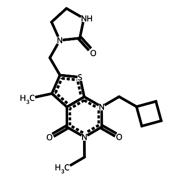 CCn1c(=O)c2c(C)c(CN3CCNC3=O)sc2n(CC2CCC2)c1=O